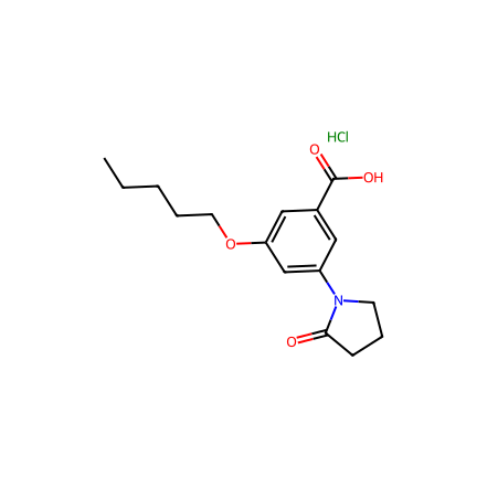 CCCCCOc1cc(C(=O)O)cc(N2CCCC2=O)c1.Cl